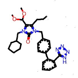 CCCc1c(C(OC)OC)n(CC2CCCCC2)c(=O)n1Cc1ccc(-c2ccccc2-c2nnn[nH]2)cc1